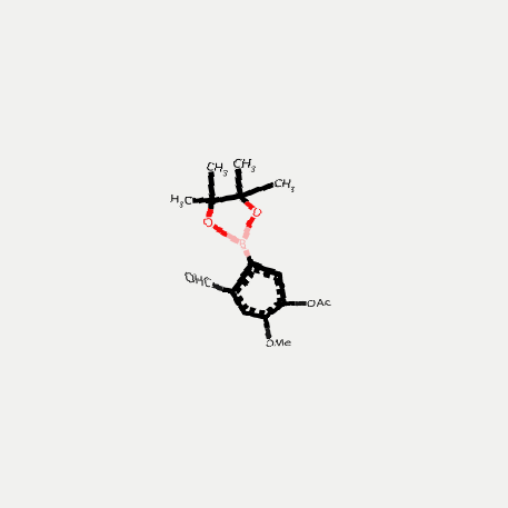 COc1cc(C=O)c(B2OC(C)(C)C(C)(C)O2)cc1OC(C)=O